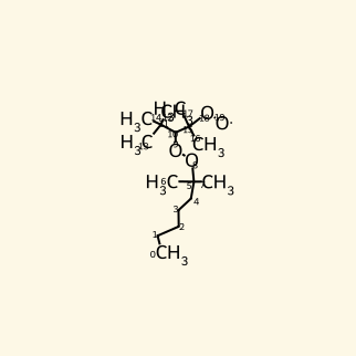 CCCCCC(C)(C)OOC(C(C)(C)C)C(C)(C)O[O]